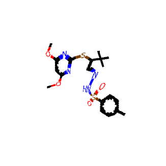 COc1cc(OC)nc(SC(C=NNS(=O)(=O)c2ccc(C)cc2)C(C)(C)C)n1